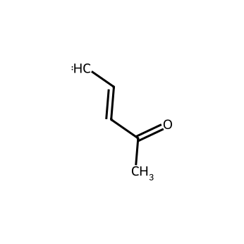 [CH]C=CC(C)=O